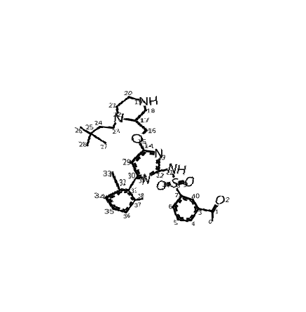 CC(=O)c1cccc(S(=O)(=O)Nc2nc(OCC3CNCCN3CCC(C)(C)C)cc(-c3c(C)cccc3C)n2)c1